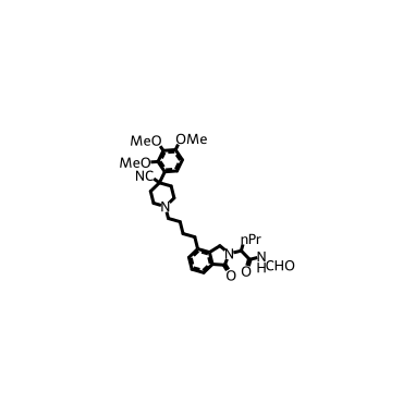 CCCC(C(=O)NC=O)N1Cc2c(CCCCN3CCC(C#N)(c4ccc(OC)c(OC)c4OC)CC3)cccc2C1=O